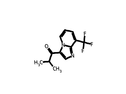 CC(C)C(=O)c1cnc2c(C(F)(F)F)cccn12